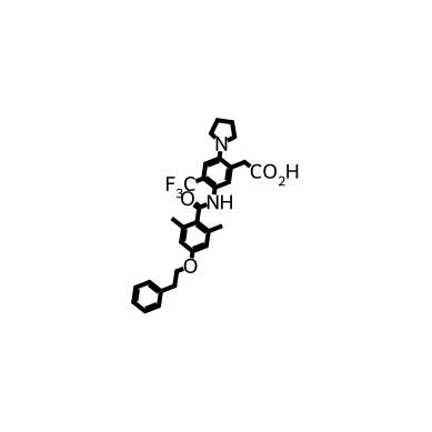 Cc1cc(OCCc2ccccc2)cc(C)c1C(=O)Nc1cc(CC(=O)O)c(N2CCCC2)cc1C(F)(F)F